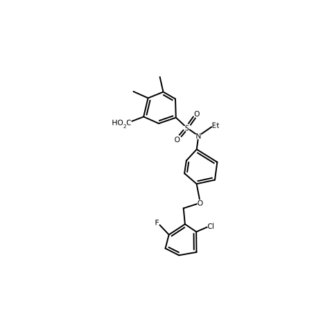 CCN(c1ccc(OCc2c(F)cccc2Cl)cc1)S(=O)(=O)c1cc(C)c(C)c(C(=O)O)c1